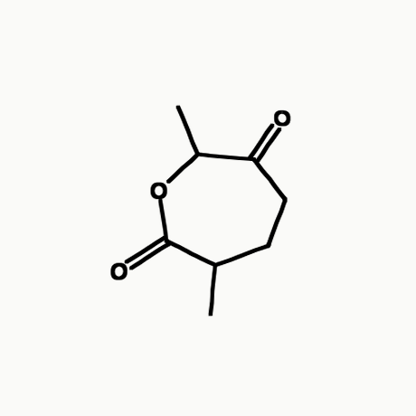 CC1CCC(=O)C(C)OC1=O